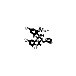 CCc1cc(CC)c(NC(C)CN(Cc2ccccn2)CC(C)Nc2c(CC)cc(CC)cc2CC)c(CC)c1.[Br-].[Br-].[Co+2]